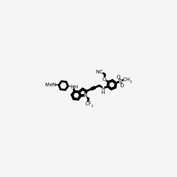 CN[C@H]1CC[C@H](Nc2cccc3c2cc(C#CCNc2ccc(S(C)(=O)=O)cc2OCC#N)n3CC(F)(F)F)CC1